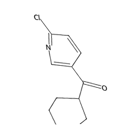 O=C(c1ccc(Cl)nc1)C1CCCCC1